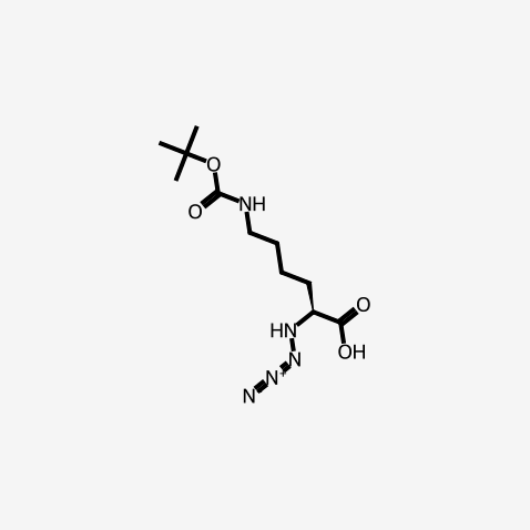 CC(C)(C)OC(=O)NCCCC[C@H](NN=[N+]=[N-])C(=O)O